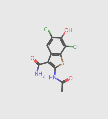 CC(=O)Nc1sc2c(Cl)c(O)c(Cl)cc2c1C(N)=O